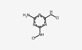 Nc1nc(NCl)nc(NCl)n1